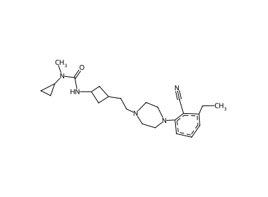 CCc1cccc(N2CCN(CCC3CC(NC(=O)N(C)C4CC4)C3)CC2)c1C#N